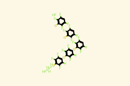 F.F.F.F.F.Fc1cc(F)c(F)c([S])c1F.Fc1cc(F)c(F)c([S])c1F.Fc1cc(F)c(F)c([S])c1F.Fc1cc(F)c(F)c([S])c1F.Fc1cc(F)c(F)c([S])c1F